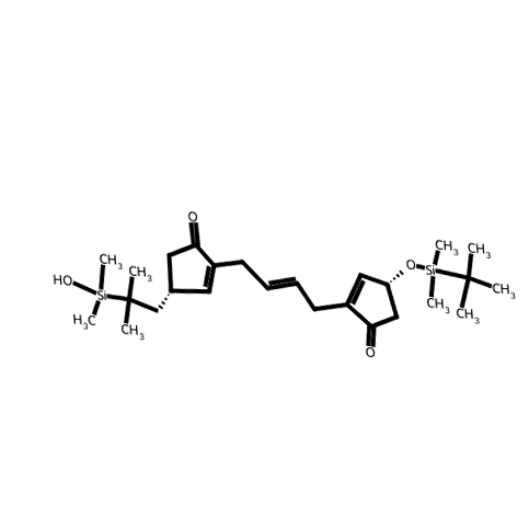 CC(C)(C[C@H]1C=C(C/C=C/CC2=C[C@H](O[Si](C)(C)C(C)(C)C)CC2=O)C(=O)C1)[Si](C)(C)O